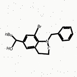 CCCCC(O)c1cc(Br)c2c(c1)CCCN2Cc1ccccc1